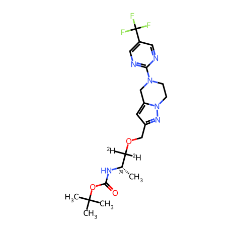 [2H]C([2H])(OCc1cc2n(n1)CCN(c1ncc(C(F)(F)F)cn1)C2)[C@H](C)NC(=O)OC(C)(C)C